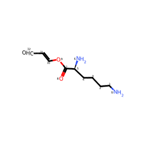 NCCCC[C@H](N)C(=O)OC=CC=O